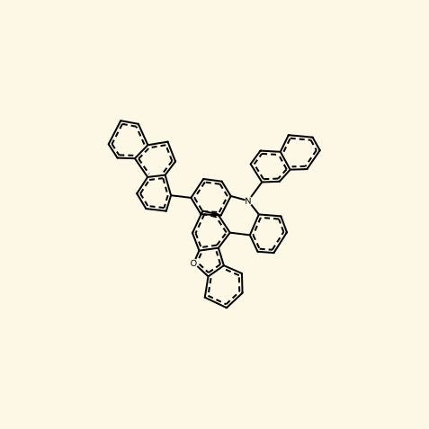 c1ccc(N(c2ccc(-c3cccc4c3ccc3ccccc34)cc2)c2ccc3ccccc3c2)c(-c2cccc3oc4ccccc4c23)c1